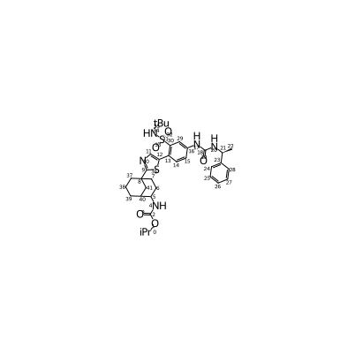 CC(C)OC(=O)NC1CCC2(c3ncc(-c4ccc(NC(=O)N[C@@H](C)c5ccccc5)cc4S(=O)(=O)NC(C)(C)C)s3)CCCC1C2